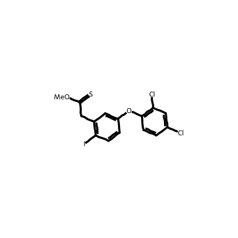 COC(=S)Cc1cc(Oc2ccc(Cl)cc2Cl)ccc1I